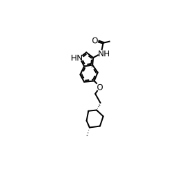 CC(=O)Nc1c[nH]c2ccc(OCC[C@H]3CC[C@@H](C)CC3)cc12